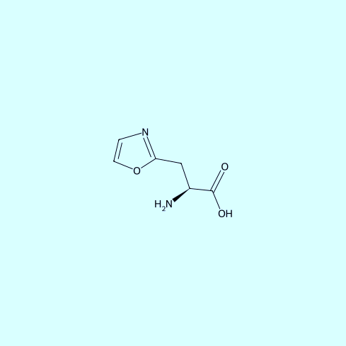 N[C@@H](Cc1ncco1)C(=O)O